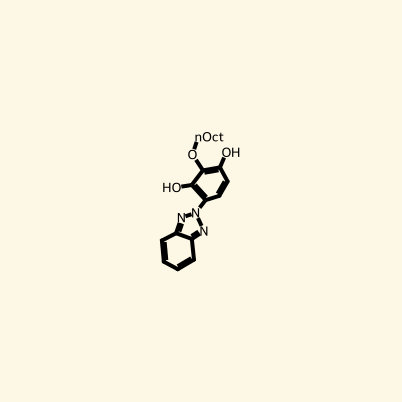 CCCCCCCCOc1c(O)ccc(-n2nc3ccccc3n2)c1O